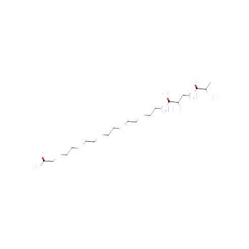 CC(C)C(=O)COCCOCCOCCOCCOCCNC(=O)C(F)CNC(=O)C(C)S